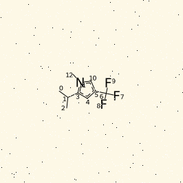 CC(C)c1cc(C(F)(F)F)cn1C